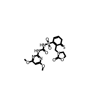 COc1cc(OC)nc(NC(=O)NS(=O)(=O)C2=C(CN3CCOC3=O)C(=S)CC=C2)n1